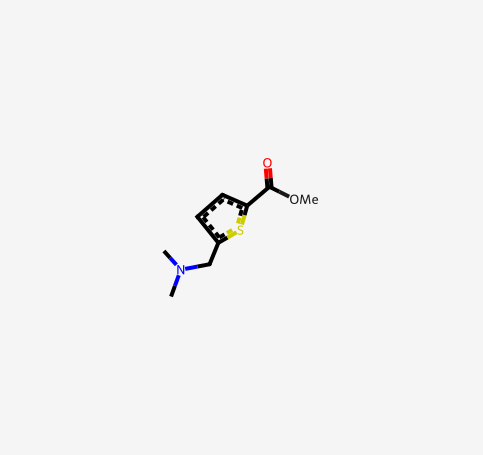 COC(=O)c1ccc(CN(C)C)s1